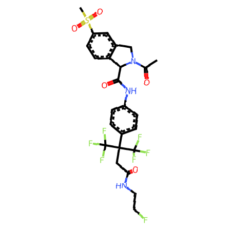 CC(=O)N1Cc2cc(S(C)(=O)=O)ccc2C1C(=O)Nc1ccc(C(CC(=O)NCCF)(C(F)(F)F)C(F)(F)F)cc1